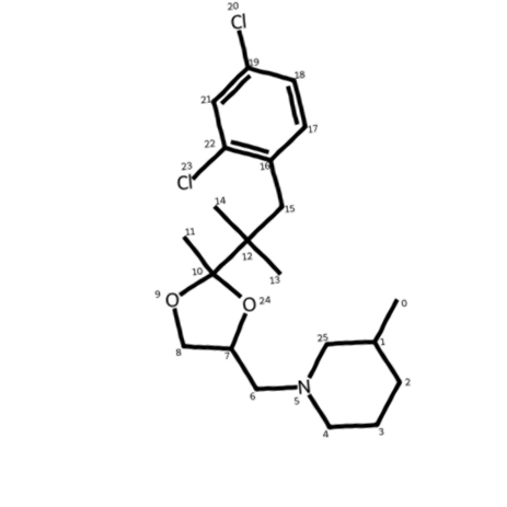 CC1CCCN(CC2COC(C)(C(C)(C)Cc3ccc(Cl)cc3Cl)O2)C1